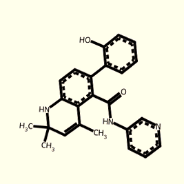 CC1=CC(C)(C)Nc2ccc(-c3ccccc3O)c(C(=O)Nc3cccnc3)c21